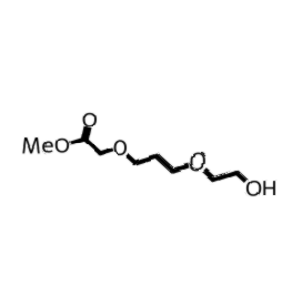 COC(=O)COCCCOCCO